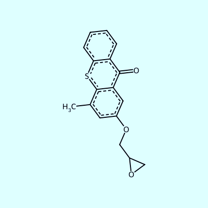 Cc1cc(OCC2CO2)cc2c(=O)c3ccccc3sc12